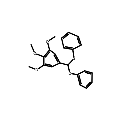 COc1cc(C(Oc2ccccc2)Sc2ccccc2)cc(OC)c1OC